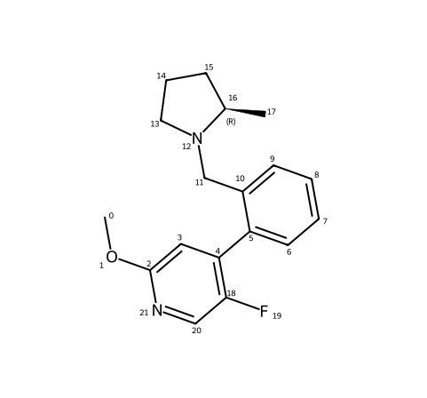 COc1cc(-c2ccccc2CN2CCC[C@H]2C)c(F)cn1